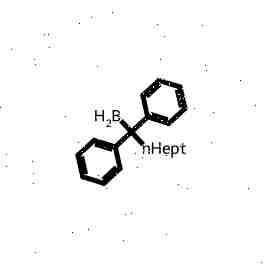 BC(CCCCCCC)(c1ccccc1)c1ccccc1